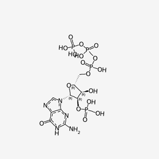 Nc1nc2c(ncn2[C@@H]2O[C@H](COP(=O)(O)OP(=O)(O)OP(=O)(O)O)[C@@H](O)[C@H]2OP(=O)(O)O)c(=O)[nH]1